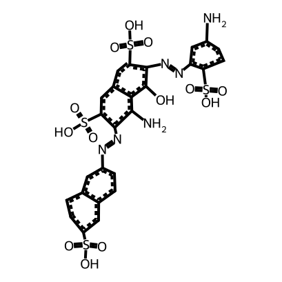 Nc1ccc(S(=O)(=O)O)c(N=Nc2c(S(=O)(=O)O)cc3cc(S(=O)(=O)O)c(N=Nc4ccc5cc(S(=O)(=O)O)ccc5c4)c(N)c3c2O)c1